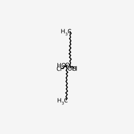 CCCCCCCCCCCCCCCCCCC(OC(CCCCCCCCCCCCCCCCCC)C(O)CCl)C(O)CCl